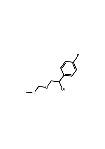 COCOCC(O)c1ccc(F)cc1